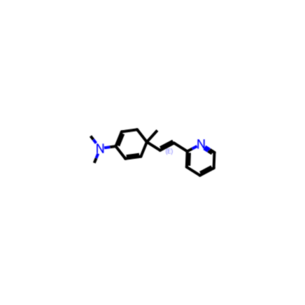 CN(C)C1=CCC(C)(/C=C/c2ccccn2)C=C1